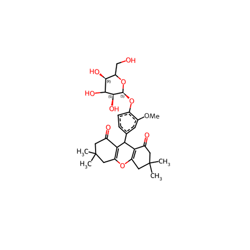 COc1cc(C2C3=C(CC(C)(C)CC3=O)OC3=C2C(=O)CC(C)(C)C3)ccc1O[C@@H]1OC(CO)[C@H](O)C(O)[C@@H]1O